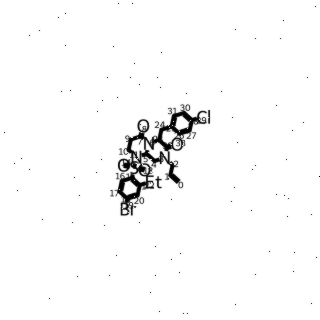 C=CCN1CC2N(C(=O)CCN2S(=O)(=O)c2ccc(Br)cc2CC)C(Cc2ccc(Cl)cc2)C1=O